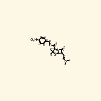 CN(C)C=NC1C(=O)N2C1SC(C)(C)C2C(=O)OCc1ccc([N+](=O)[O-])cc1